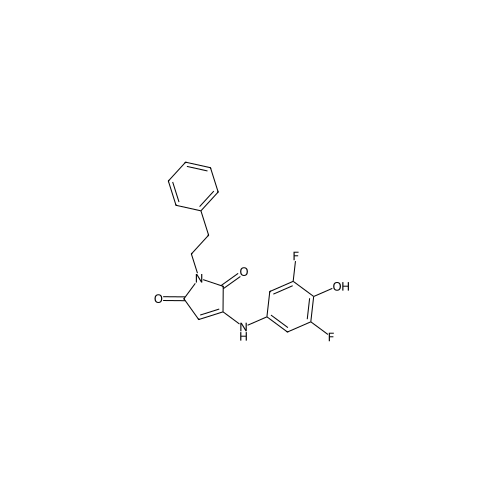 O=C1C=C(Nc2cc(F)c(O)c(F)c2)C(=O)N1CCc1ccccc1